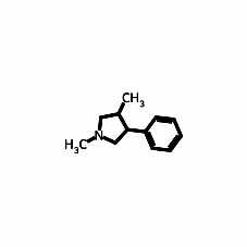 CC1CN(C)CC1c1ccccc1